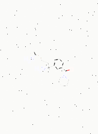 C=C(N)SCCC(C)(N)c1cccc(C(=O)N2CCCCC2)c1